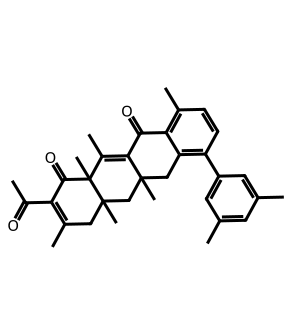 CC(=O)C1=C(C)CC2(C)CC3(C)Cc4c(-c5cc(C)cc(C)c5)ccc(C)c4C(=O)C3=C(C)C2(C)C1=O